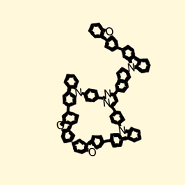 c1ccc2c(c1)oc1cc(-c3ccc4c5ccccc5n(-c5ccc(-c6cc(-c7ccc8cc(-n9c%10ccccc%10c%10ccc(-c%11ccc%12c(c%11)oc%11ccccc%11%12)cc%109)ccc8c7)nc(-c7ccc(-n8c9ccccc9c9ccc(-c%10ccc%11c(c%10)oc%10ccccc%10%11)cc98)cc7)n6)cc5)c4c3)ccc12